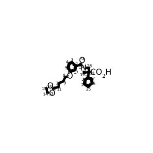 O=C(c1cccc(OCCCCC2OCCO2)c1)N1CC(C(=O)O)(c2ccccc2)C1